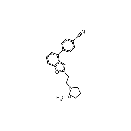 C[C@H]1CCCN1CCc1cc2c(-c3ccc(C#N)cc3)cccc2o1